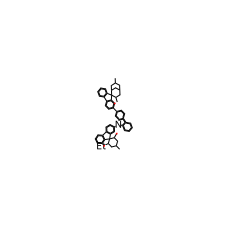 CCC1CC(C)CC(C)C12c1ccccc1-c1ccc(-n3c4ccccc4c4ccc(-c5ccc6c(c5)C5(c7ccccc7-6)C(C)CC6CC(C)CC5C6)cc43)cc12